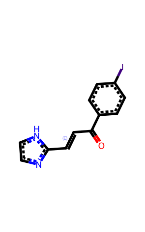 O=C(/C=C/c1ncc[nH]1)c1ccc(I)cc1